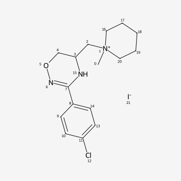 C[N+]1(CC2CON=C(c3ccc(Cl)cc3)N2)CCCCC1.[I-]